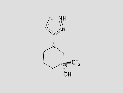 O[C@]1(C(F)(F)F)CCCN(c2cc[nH]n2)C1